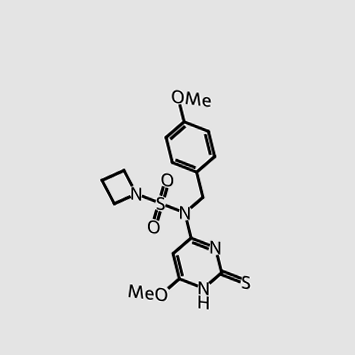 COc1ccc(CN(c2cc(OC)[nH]c(=S)n2)S(=O)(=O)N2CCC2)cc1